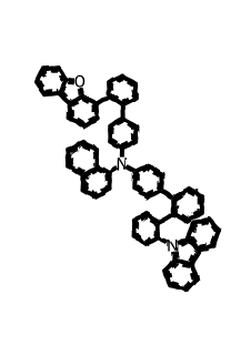 c1ccc(-c2ccccc2-n2c3ccccc3c3ccccc32)c(-c2ccc(N(c3ccc(-c4ccccc4-c4cccc5c4oc4ccccc45)cc3)c3cccc4ccccc34)cc2)c1